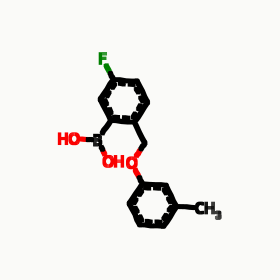 Cc1cccc(OCc2ccc(F)cc2B(O)O)c1